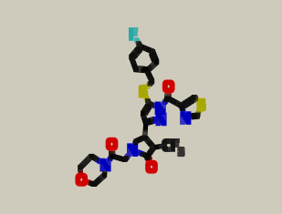 O=C(CN1CC(c2cc(SCc3ccc(F)cc3)n(C(=O)c3cscn3)n2)C(C(F)(F)F)C1=O)N1CCOCC1